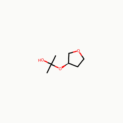 CC(C)(O)O[C@@H]1CCOC1